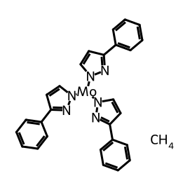 C.c1ccc(-c2cc[n]([Mo]([n]3ccc(-c4ccccc4)n3)[n]3ccc(-c4ccccc4)n3)n2)cc1